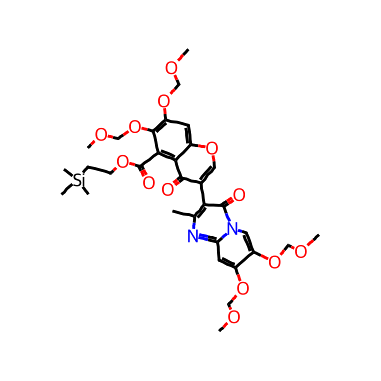 COCOc1cc2nc(C)c(-c3coc4cc(OCOC)c(OCOC)c(C(=O)OCC[Si](C)(C)C)c4c3=O)c(=O)n2cc1OCOC